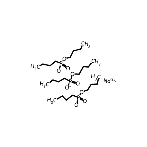 CCCCOP(=O)([O-])CCCC.CCCCOP(=O)([O-])CCCC.CCCCOP(=O)([O-])CCCC.[Nd+3]